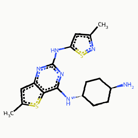 Cc1cc(Nc2nc(N[C@H]3CC[C@H](N)CC3)c3sc(C)cc3n2)sn1